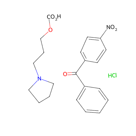 Cl.O=C(O)OCCCN1CCCC1.O=C(c1ccccc1)c1ccc([N+](=O)[O-])cc1